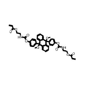 C=CC(=O)OCCNC(=O)Oc1ccc(C2(OC)c3ccccc3C(OC)(c3ccc(OC(=O)NCCOC(=O)C=C)cc3)c3ccccc32)cc1